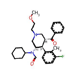 COCCN1C[C@H](C(=O)c2ccccc2)[C@@H](c2cccc(F)c2C)[C@H](N(C=O)C2CCCCC2)C1